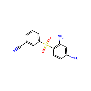 N#Cc1cccc(S(=O)(=O)c2ccc(N)cc2N)c1